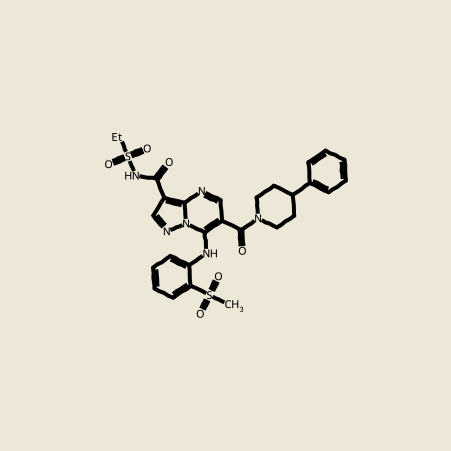 CCS(=O)(=O)NC(=O)c1cnn2c(Nc3ccccc3S(C)(=O)=O)c(C(=O)N3CCC(c4ccccc4)CC3)cnc12